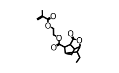 C=C(C)C(=O)OCCOC(=O)C1C2CC3C(OC(=O)C31)C2CC